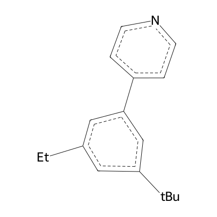 CCc1cc(-c2ccncc2)cc(C(C)(C)C)c1